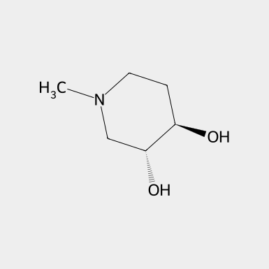 CN1CC[C@@H](O)[C@H](O)C1